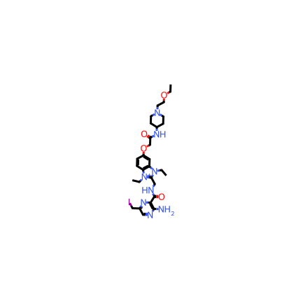 CCOCCN1CCC(NC(=O)COc2ccc3c(c2)n(CC)c(CNC(=O)c2nc(CI)cnc2N)[n+]3CC)CC1